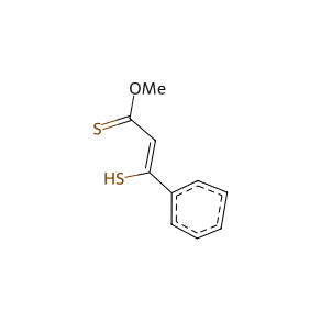 COC(=S)C=C(S)c1ccccc1